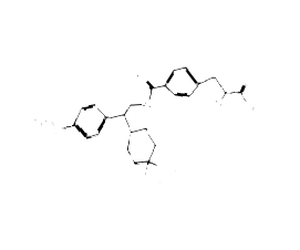 COc1ccc(C(CNC(=O)c2ccc(CC(N)C(=O)O)cc2)C2CCC(C)(C)CC2)cc1